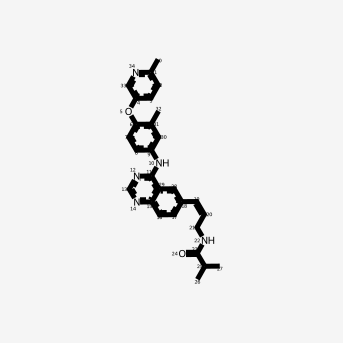 Cc1ccc(Oc2ccc(Nc3ncnc4ccc(/C=C\CNC(=O)C(C)C)cc34)cc2C)cn1